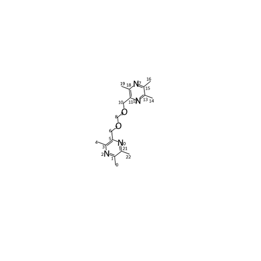 Cc1nc(C)c(COCOCc2nc(C)c(C)nc2C)nc1C